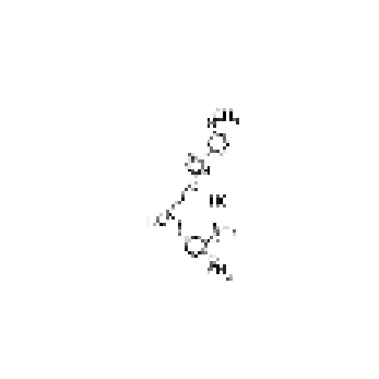 COc1cccc(-c2nc(OCCCN(C)CCc3ccc(OC)c(OC)c3)ns2)c1.Cl